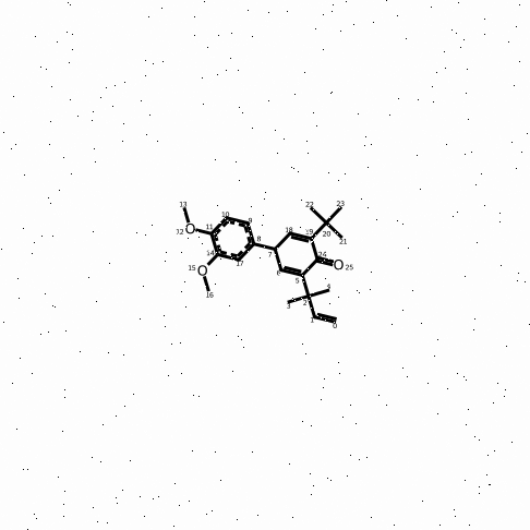 C=CC(C)(C)C1=CC(c2ccc(OC)c(OC)c2)C=C(C(C)(C)C)C1=O